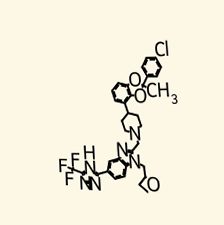 CC1(c2ccc(Cl)cc2)Oc2cccc(C3CCN(Cc4nc5cc(-c6nnc(C(F)(F)F)[nH]6)ccc5n4CC4CCO4)CC3)c2O1